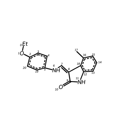 CCOc1ccc(N/C=C2\C(=O)Nc3cccc(C)c32)cc1